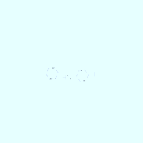 Fc1ccc(NCc2ccccc2)cc1C(F)(F)F